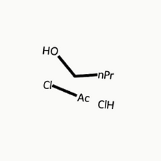 CC(=O)Cl.CCCCO.Cl